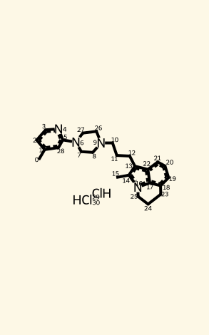 Cc1ccnc(N2CCN(CCCc3c(C)n4c5c(cccc35)CCC4)CC2)c1.Cl.Cl